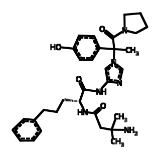 CC(C)(N)CC(=O)N[C@H](CCCc1ccccc1)C(=O)Nc1cn(C(C)(C(=O)N2CCCC2)c2ccc(O)cc2)cn1